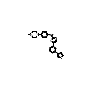 CN1CCN(c2ccc(Nc3ncc(-c4cccc(-c5ccsc5)c4)s3)cc2)CC1